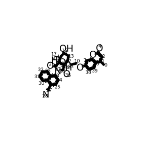 Cc1cc(=O)oc2cc(OCC[C@]34CC(O)[C@](C)(O3)[C@@H]3C(=O)N(c5ccc(C#N)c6ccccc56)C(=O)[C@@H]34)ccc12